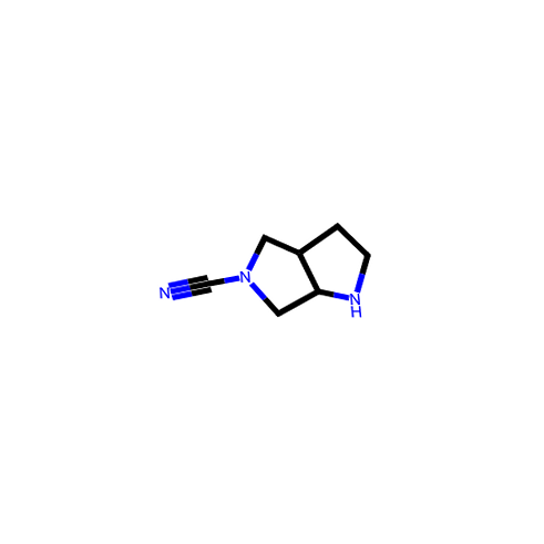 N#CN1CC2CCNC2C1